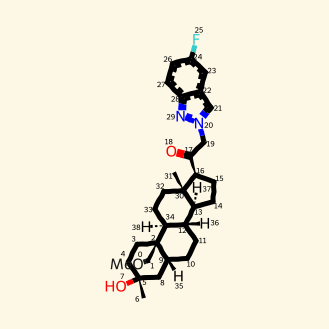 COC[C@]12CC[C@@](C)(O)C[C@H]1CC[C@H]1[C@@H]3CC[C@H](C(=O)Cn4cc5cc(F)ccc5n4)[C@@]3(C)CC[C@@H]12